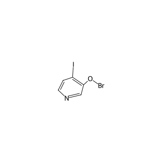 BrOc1cnccc1I